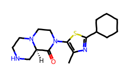 Cc1nc(C2CCCCC2)sc1N1CCN2CCNC[C@@H]2C1=O